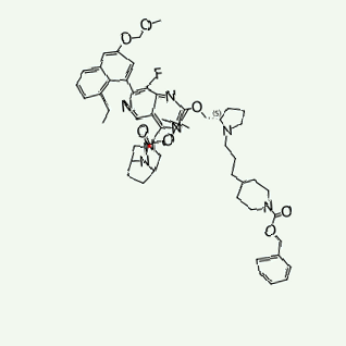 CCc1cccc2cc(OCOC)cc(-c3ncc4c(N5CC6CCC(C5)N6C(=O)OC(C)(C)C)nc(OC[C@@H]5CCCN5CCCC5CCN(C(=O)OCc6ccccc6)CC5)nc4c3F)c12